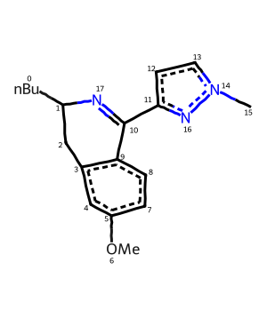 CCCCC1Cc2cc(OC)ccc2C(c2ccn(C)n2)=N1